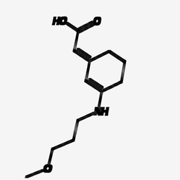 COCCCNC1=CC(=CC(=O)O)CCC1